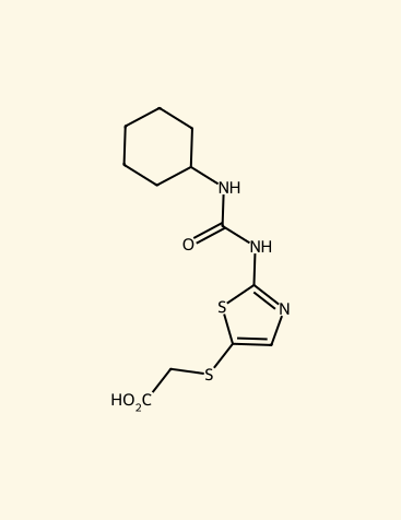 O=C(O)CSc1cnc(NC(=O)NC2CCCCC2)s1